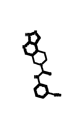 CSc1cccc(NC(=O)N2CCc3c(cnc4[nH]ncc34)C2)c1